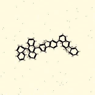 c1cc(-c2ccc3c(c2)oc2cc(-c4c5ccccc5c(-c5cccc6ccccc56)c5ccccc45)ccc23)c2cc3oc4ccccc4c3cc2c1